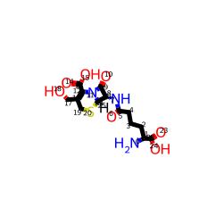 NC(CCCC(=O)N[C@@H]1C(=O)N2C(C(=O)O)=C(CO)CS[C@@H]12)C(=O)O